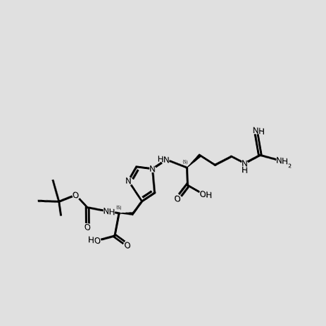 CC(C)(C)OC(=O)N[C@@H](Cc1cn(N[C@@H](CCCNC(=N)N)C(=O)O)cn1)C(=O)O